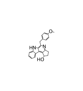 COc1ccc(Cc2nc3c(c4c2[nH]c2ccccc24)C(O)CC3)cc1